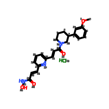 COc1cccc(C2CCCN(C(=O)C=Cc3cccc(C=CC(=O)NO)n3)C2)c1.Cl